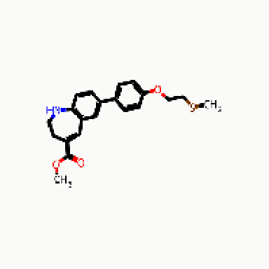 COC(=O)C1=Cc2cc(-c3ccc(OCCSC)cc3)ccc2NCC1